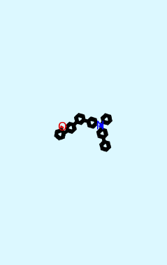 c1ccc(-c2ccc(N(c3ccccc3)c3ccc(-c4cccc(-c5ccc6c(c5)oc5ccccc56)c4)cc3)cc2)cc1